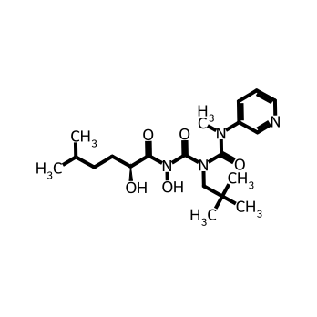 CC(C)CC[C@H](O)C(=O)N(O)C(=O)N(CC(C)(C)C)C(=O)N(C)c1cccnc1